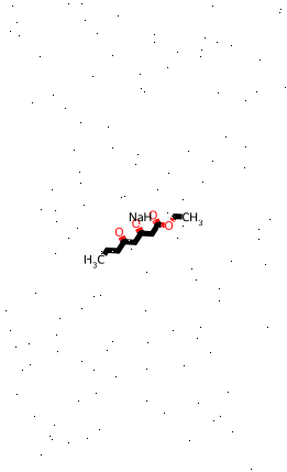 CCCC(=O)CC(=O)CC(=O)OCC.[NaH]